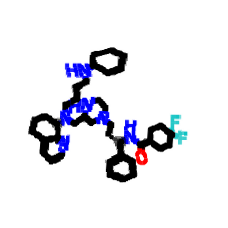 O=C(N[C@@H](CCN1CCNC(CN(CCCCNC2CCCCC2)[C@H]2CCCc3cccnc32)C1)c1ccccc1)C1CCC(F)(F)CC1